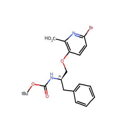 CC(C)(C)OC(=O)N[C@@H](COc1ccc(Br)nc1C(=O)O)Cc1ccccc1